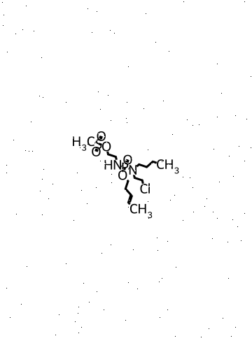 C/C=C/CCOP(=O)(NCCOS(C)(=O)=O)N(CCCl)CCCC